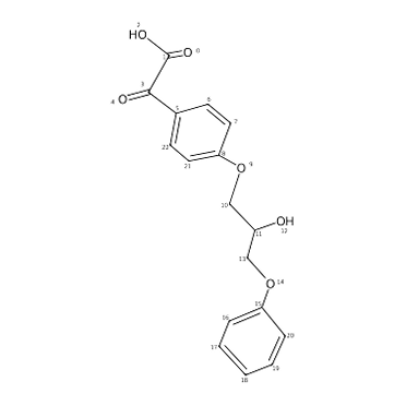 O=C(O)C(=O)c1ccc(OCC(O)COc2ccccc2)cc1